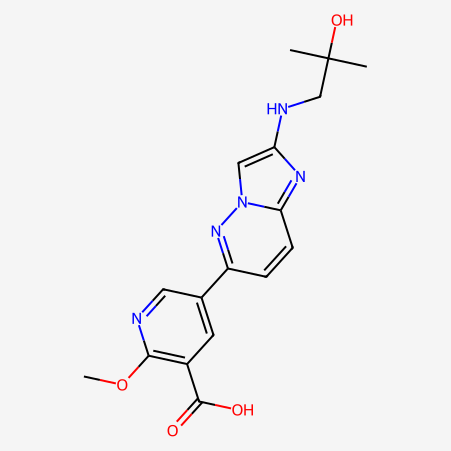 COc1ncc(-c2ccc3nc(NCC(C)(C)O)cn3n2)cc1C(=O)O